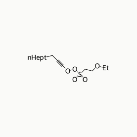 CCCCCCCCC#COOS(=O)(=O)CCOCC